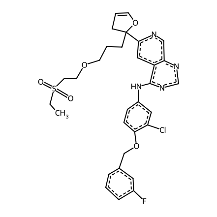 CCS(=O)(=O)CCOCCCC1(c2cc3c(Nc4ccc(OCc5cccc(F)c5)c(Cl)c4)ncnc3cn2)CC=CO1